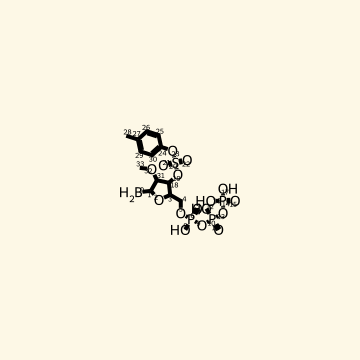 BC1OC(COP(=O)(O)OP(=O)(O)OP(=O)(O)O)C(OS(=O)(=O)Oc2ccc(C)cc2)C1OC